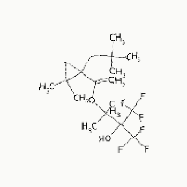 C=C(OC(C)(C)C(O)(C(F)(F)F)C(F)(F)F)C1(CC(C)(C)C)CC1(C)C